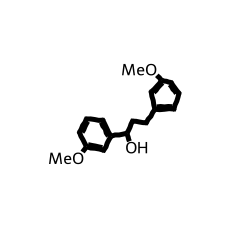 COc1cccc(CCC(O)c2cccc(OC)c2)c1